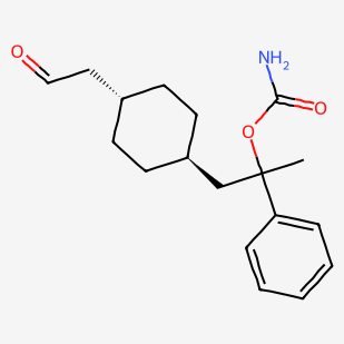 CC(C[C@H]1CC[C@H](CC=O)CC1)(OC(N)=O)c1ccccc1